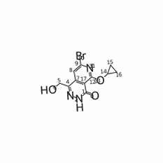 O=c1[nH]nc(CO)c2cc(Br)nc(OC3CC3)c12